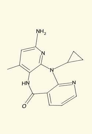 Cc1cc(N)nc2c1NC(=O)c1cccnc1N2C1CC1